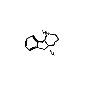 CC[C@@]12CCCNC1c1ccccc1C2